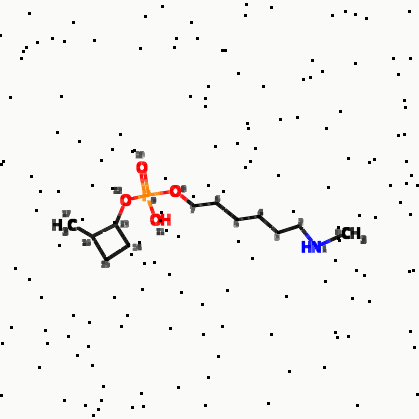 CNCCCCCCOP(=O)(O)OC1CCC1C